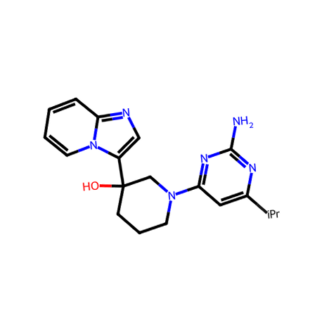 CC(C)c1cc(N2CCCC(O)(c3cnc4ccccn34)C2)nc(N)n1